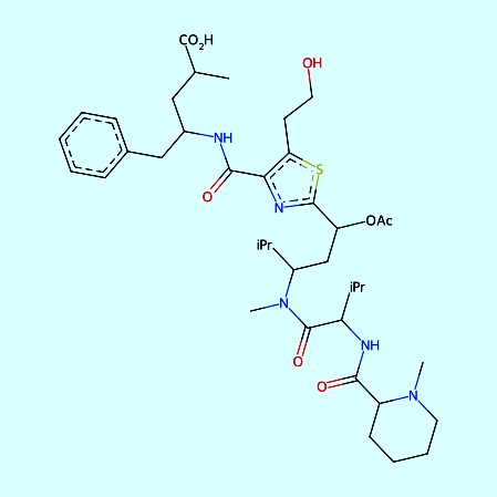 CC(=O)OC(CC(C(C)C)N(C)C(=O)C(NC(=O)C1CCCCN1C)C(C)C)c1nc(C(=O)NC(Cc2ccccc2)CC(C)C(=O)O)c(CCO)s1